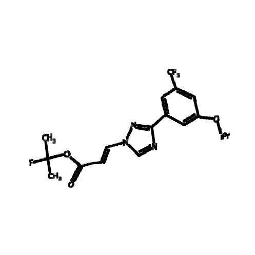 CC(C)Oc1cc(-c2ncn(/C=C/C(=O)OC(C)(C)F)n2)cc(C(F)(F)F)c1